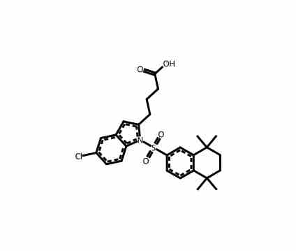 CC1(C)CCC(C)(C)c2cc(S(=O)(=O)n3c(CCCC(=O)O)cc4cc(Cl)ccc43)ccc21